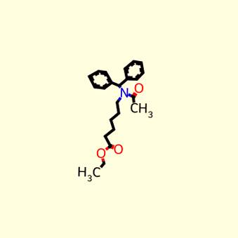 CCOC(=O)CCCCCN(C(C)=O)C(c1ccccc1)c1ccccc1